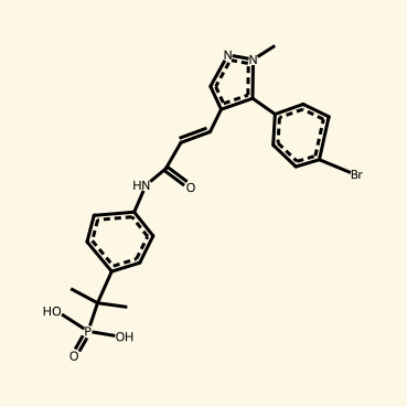 Cn1ncc(C=CC(=O)Nc2ccc(C(C)(C)P(=O)(O)O)cc2)c1-c1ccc(Br)cc1